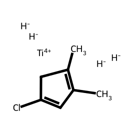 CC1=C(C)CC(Cl)=C1.[H-].[H-].[H-].[H-].[Ti+4]